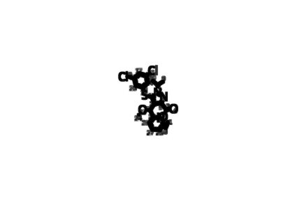 CCOC(=O)c1nn(C(C)C)c(Sc2cc(Cl)cc(Cl)c2)c1C(OC)c1ccccn1